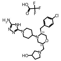 Nc1nnc(N2CCC(N3C[C@H](CN4CCC(O)C4)OC[C@@H]3Cc3ccc(Cl)cc3)CC2)[nH]1.O=C(O)C(F)(F)F